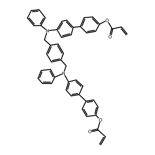 C=CC(=O)Oc1ccc(-c2ccc(N(Cc3ccc(CN(c4ccccc4)c4ccc(-c5ccc(OC(=O)C=C)cc5)cc4)cc3)c3ccccc3)cc2)cc1